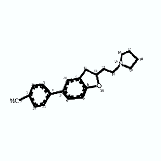 N#Cc1ccc(-c2ccc3c(c2)CC(CCN2CCCC2)O3)cc1